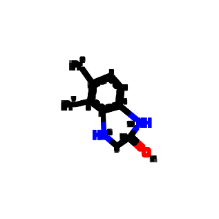 CC(C)c1ccc2c(c1C(C)C)NCC(=O)N2